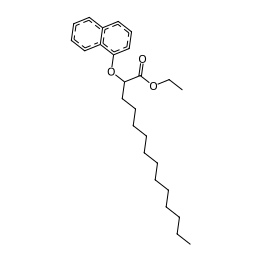 CCCCCCCCCCCCC(Oc1cccc2ccccc12)C(=O)OCC